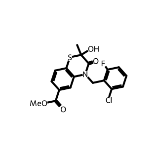 COC(=O)c1ccc2c(c1)N(Cc1c(F)cccc1Cl)C(=O)C(C)(O)S2